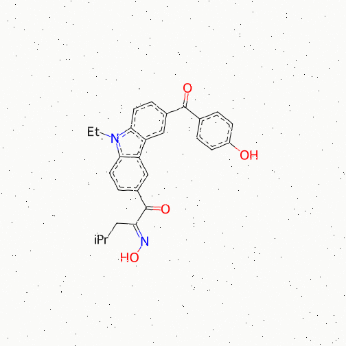 CCn1c2ccc(C(=O)/C(CC(C)C)=N/O)cc2c2cc(C(=O)c3ccc(O)cc3)ccc21